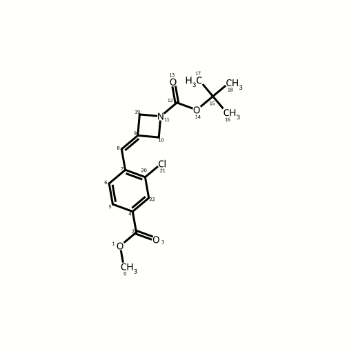 COC(=O)c1ccc(C=C2CN(C(=O)OC(C)(C)C)C2)c(Cl)c1